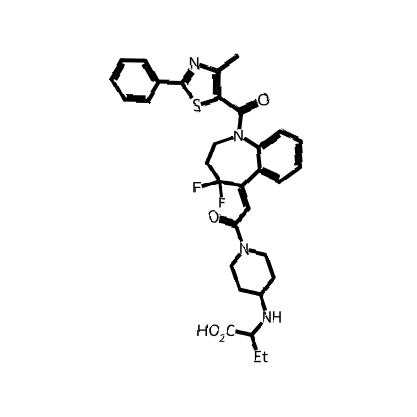 CCC(NC1CCN(C(=O)/C=C2/c3ccccc3N(C(=O)c3sc(-c4ccccc4)nc3C)CCC2(F)F)CC1)C(=O)O